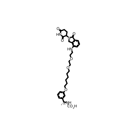 C[C@@H](NC(=O)O)c1cccc(OCCCCCCOCCOCCNc2cccc3c2CN(C2CCC(=O)NC2=O)C3=O)c1